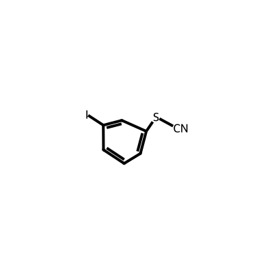 N#CSc1cccc(I)c1